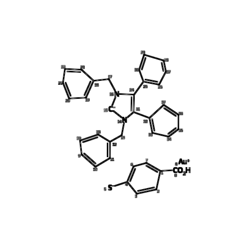 O=C(O)c1ccc([S-])cc1.[Au+].c1ccc(CN2[CH-]N(Cc3ccccc3)C(c3ccccc3)=C2c2ccccc2)cc1